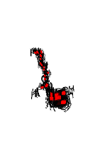 CC(C)(C)[Si](C)(C)O[C@@H](CNCCN(C(=O)CCOCCc1cccc(CCN2C[C@H]3C[C@H](OC(=O)Nc4ccccc4-c4ccccc4)C[C@H]3C2)c1)C1CC1)c1ccc(O)c2c1OCC(=O)N2